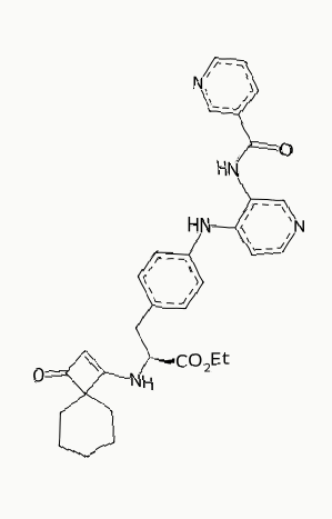 CCOC(=O)[C@H](Cc1ccc(Nc2ccncc2NC(=O)c2cccnc2)cc1)NC1=CC(=O)C12CCCCC2